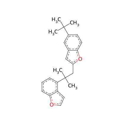 CC(C)(C)c1ccc2oc(CC(C)(C)c3cccc4occc34)cc2c1